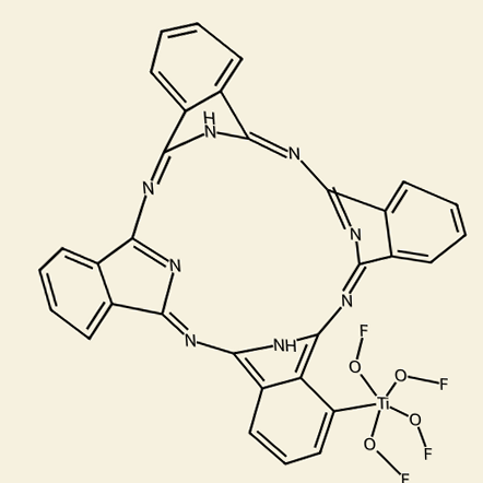 F[O][Ti]([O]F)([O]F)([O]F)[c]1cccc2c3nc4nc(nc5[nH]c(nc6nc(nc([nH]3)c12)-c1ccccc1-6)c1ccccc51)-c1ccccc1-4